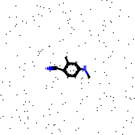 CNc1ccc(C#N)c(C)c1